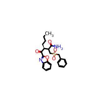 CCCC[C@H](C(=O)c1nc2ccccc2o1)C(CS(=O)(=O)Cc1ccccc1)C(N)=O